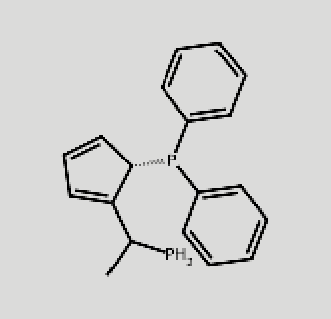 CC(P)C1=CC=C[C@@H]1P(c1ccccc1)c1ccccc1